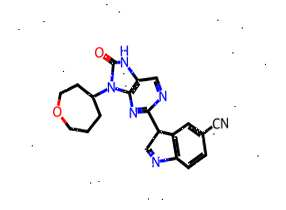 N#Cc1ccc2c(c1)C(c1ncc3[nH]c(=O)n(C4CCCOCC4)c3n1)C=N2